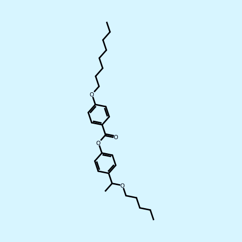 CCCCCCCCOc1ccc(C(=O)Oc2ccc(C(C)OCCCCC)cc2)cc1